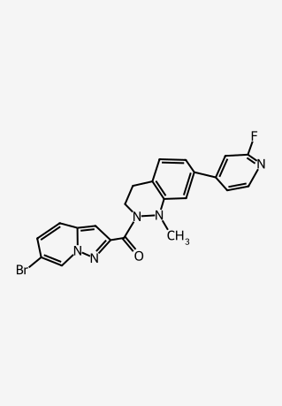 CN1c2cc(-c3ccnc(F)c3)ccc2CCN1C(=O)c1cc2ccc(Br)cn2n1